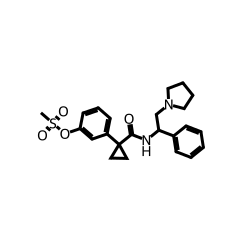 CS(=O)(=O)Oc1cccc(C2(C(=O)NC(CN3CCCC3)c3ccccc3)CC2)c1